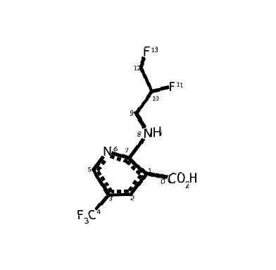 O=C(O)c1cc(C(F)(F)F)cnc1NCC(F)CF